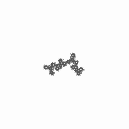 CC1(C)c2c(cc(-c3cccc(-c4cc(-c5ccccc5)nc(-c5ccc(-c6ccc7c8c(c9ccccc9c7c6)-c6cc(-c7cccc(-c9nc(-c%10ccccc%10)nc(-c%10ccccc%10)n9)c7)c7ccccc7c6C8(C)C)cc5)n4)c3)c3ccccc23)-c2c1c1ccccc1c1ccccc21